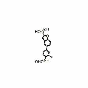 O=CNc1ccc(-c2ccc3oc(B(O)O)cc3c2)cc1F